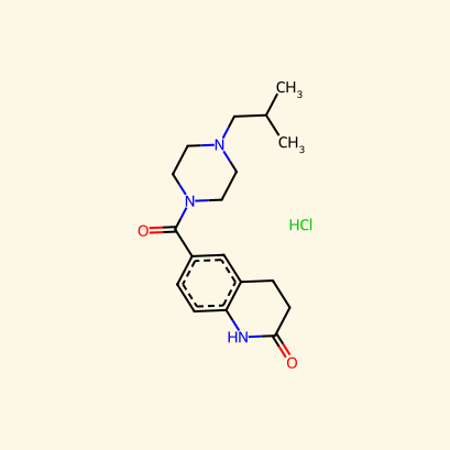 CC(C)CN1CCN(C(=O)c2ccc3c(c2)CCC(=O)N3)CC1.Cl